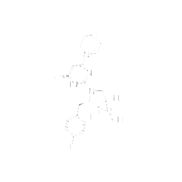 C[C@@H]1[C@@H]2CN(c3nc(N4CCOCC4)cc(=O)[nH]3)[C@H](Cc3ccc(F)cc3)[C@H]12